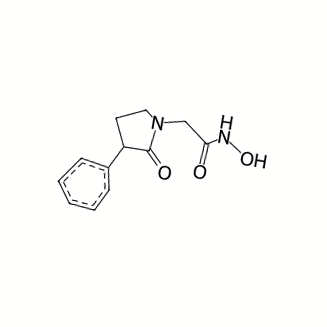 O=C(CN1CCC(c2ccccc2)C1=O)NO